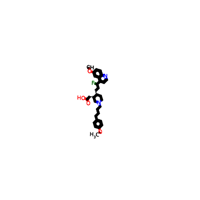 COc1ccc(CCCCN2CC[C@@H](CCC(F)c3ccnc4ccc(OC)cc34)[C@@H](CC(=O)O)C2)cc1